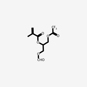 C=C(C)C(=O)OC(COC=O)COC(=O)C(F)(F)F